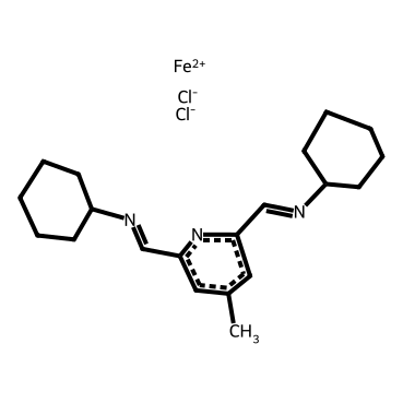 Cc1cc(C=NC2CCCCC2)nc(C=NC2CCCCC2)c1.[Cl-].[Cl-].[Fe+2]